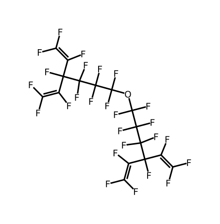 FC(F)=C(F)C(F)(C(F)=C(F)F)C(F)(F)C(F)(F)C(F)(F)OC(F)(F)C(F)(F)C(F)(F)C(F)(C(F)=C(F)F)C(F)=C(F)F